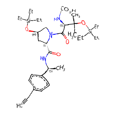 C#Cc1ccc([C@H](C)NC(=O)[C@@H]2C[C@@H](O[Si](CC)(CC)CC)CN2C(=O)[C@@H](NC(=O)O)C(C)(C)O[Si](CC)(CC)CC)cc1